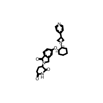 O=C1CCC(N2Cc3cc(O[C@H]4CCCC[C@@H]4N4CC(c5ccncc5)C4)ccc3C2=O)C(=O)N1